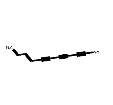 C=CC=CC#CC#CC#CCCC